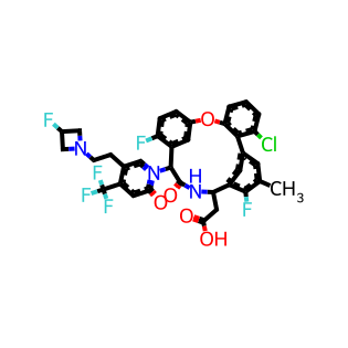 Cc1cc2cc(c1F)C(CC(=O)O)NC(=O)C(n1cc(CCN3CC(F)C3)c(C(F)(F)F)cc1=O)c1cc(ccc1F)Oc1cccc(Cl)c1-2